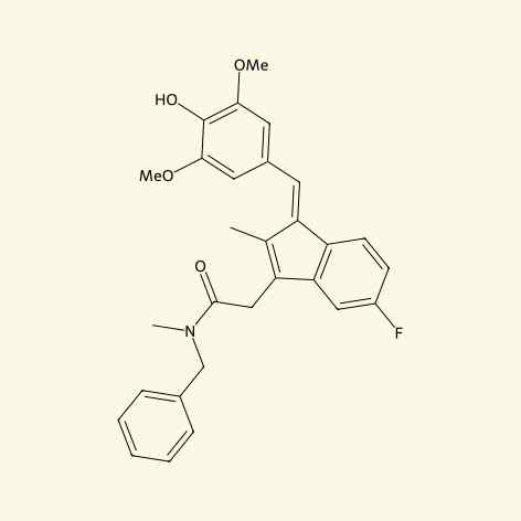 COc1cc(C=C2C(C)=C(CC(=O)N(C)Cc3ccccc3)c3cc(F)ccc32)cc(OC)c1O